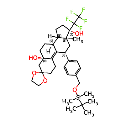 CC(C)(C)[Si](C)(C)OCc1ccc([C@H]2C[C@@]3(C)[C@@H](CC[C@@]3(O)C(F)(F)C(F)(F)F)[C@@H]3CC[C@@]4(O)CC5(CCC4=C32)OCCO5)cc1